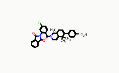 CC1(C)C(c2ccc(C(=O)O)cc2)=CC[C@]2(C)CN(C(=O)c3ccc(Cl)cc3N3C(=O)c4ccccc4C3=O)CC=C12